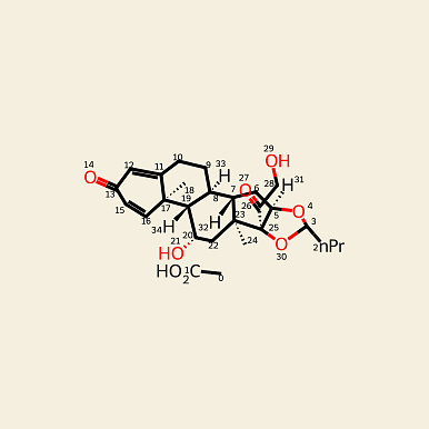 CC(=O)O.CCCC1O[C@@H]2C[C@H]3[C@@H]4CCC5=CC(=O)C=C[C@]5(C)[C@H]4[C@@H](O)C[C@]3(C)[C@]2(C(=O)CO)O1